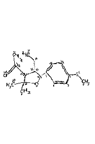 CSc1ccc([C@@H]2OC(C)(C)N(C(C)=O)[C@@H]2CO)cc1